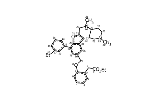 CCOC(=O)Cc1ccccc1OCc1cc(-c2cccc(CC)c2)c2oc(CN(C)C3CCN(C)CC3)cc2c1